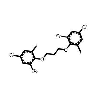 CC(C)c1cc(Cl)cc(I)c1OCCCOc1c(I)cc(Cl)cc1C(C)C